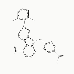 NC(=O)c1ccc(Cn2c3cc(-c4c(Cl)cccc4Cl)c[c]c3c3c(C(N)=O)cccc32)cc1